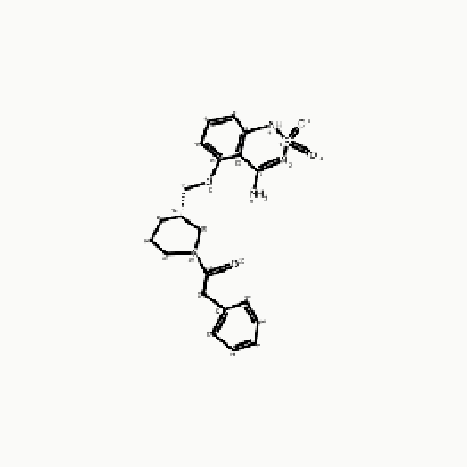 NC1=NS(=O)(=O)Nc2cccc(OC[C@H]3CCCN(C(=O)Cc4ccccc4)C3)c21